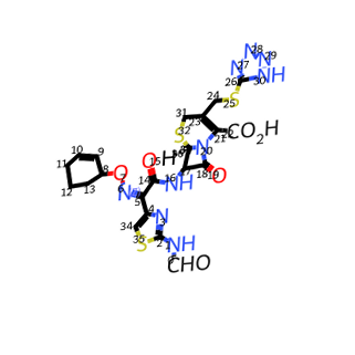 O=CNc1nc(/C(=N/OC2C=CCCC2)C(=O)NC2C(=O)N3C(C(=O)O)=C(CSc4nnn[nH]4)CS[C@H]23)cs1